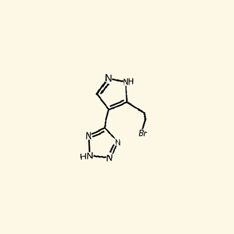 BrCc1[nH]ncc1-c1nn[nH]n1